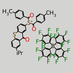 Cc1ccc(C(=O)[S+](C(=O)c2ccc(C)cc2)c2ccc3sc4ccc(C(C)C)cc4c(=O)c3c2)cc1.Fc1c(F)c(F)c([B-](c2c(F)c(F)c(F)c(F)c2F)(c2c(F)c(F)c(F)c(F)c2F)c2c(F)c(F)c(F)c(F)c2F)c(F)c1F